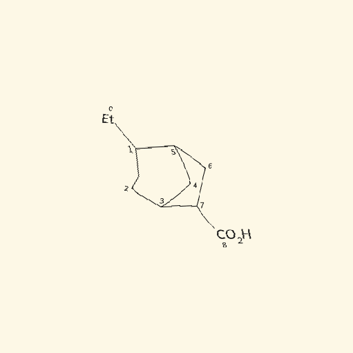 CCC1CC2CC1CC2C(=O)O